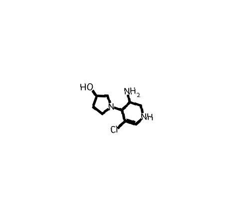 NC1CNC=C(Cl)C1N1CCC(O)C1